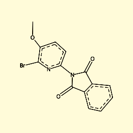 COc1ccc(N2C(=O)c3ccccc3C2=O)nc1Br